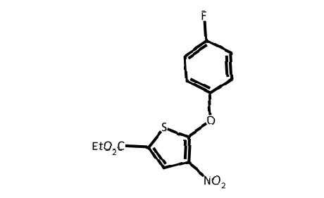 CCOC(=O)c1cc([N+](=O)[O-])c(Oc2ccc(F)cc2)s1